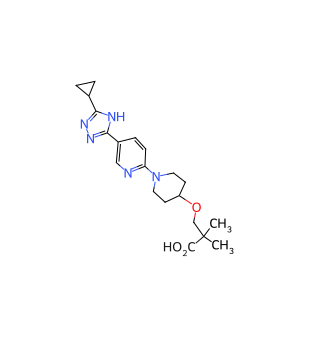 CC(C)(COC1CCN(c2ccc(-c3nnc(C4CC4)[nH]3)cn2)CC1)C(=O)O